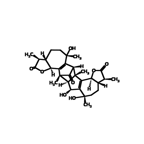 C[C@@H]1C(=O)O[C@@H]2C3=C([C@H]4C(=O)[C@]3(C)[C@@H]3[C@H](O)C5=C([C@H]6OC(=O)[C@@H](C)[C@@H]6CC[C@]5(C)O)[C@@]43C)[C@@](C)(O)CC[C@@H]12